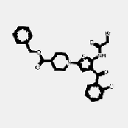 O=C(CBr)Nc1sc(N2CCC(C(=O)OCc3ccccc3)CC2)cc1C(=O)c1ccccc1Cl